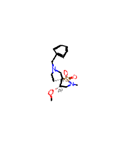 CO[C@H]1CN(C)S(=O)(=O)[C@@]12CCN(Cc1ccccc1)C2